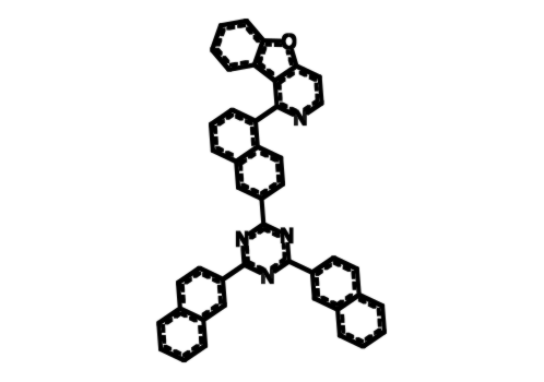 c1ccc2cc(-c3nc(-c4ccc5ccccc5c4)nc(-c4ccc5c(-c6nccc7oc8ccccc8c67)cccc5c4)n3)ccc2c1